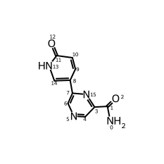 NC(=O)c1cncc(-c2ccc(=O)[nH]c2)n1